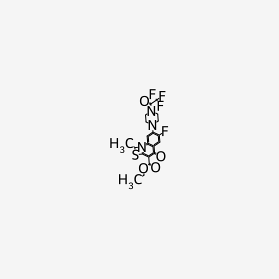 CCOC(=O)c1c2n(c3cc(N4CCN(C(=O)C(F)(F)F)CC4)c(F)cc3c1=O)C(C)S2